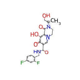 C[C@@H](CO)N1CCn2cc(C(=O)NCc3ccc(F)cc3F)c(=O)c(O)c2C1=O